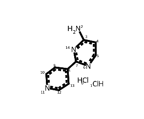 Cl.Cl.Nc1ccnc(-c2ccncc2)n1